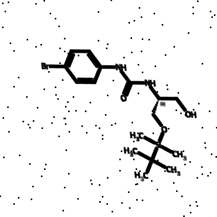 CC(C)(C)[Si](C)(C)OC[C@@H](CO)NC(=O)Nc1ccc(Br)cc1